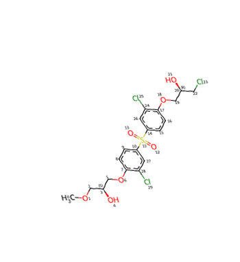 COC[C@H](O)COc1ccc(S(=O)(=O)c2ccc(OC[C@@H](O)CCl)c(Cl)c2)cc1Cl